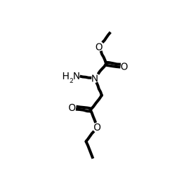 CCOC(=O)CN(N)C(=O)OC